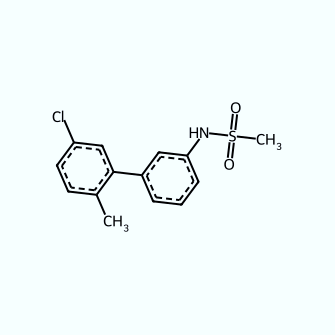 Cc1ccc(Cl)cc1-c1cccc(NS(C)(=O)=O)c1